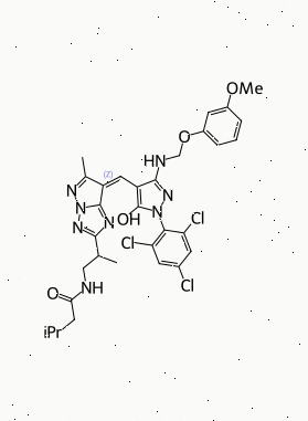 COc1cccc(OCNc2nn(-c3c(Cl)cc(Cl)cc3Cl)c(O)c2/C=c2/c(C)nn3nc(C(C)CNC(=O)CC(C)C)nc23)c1